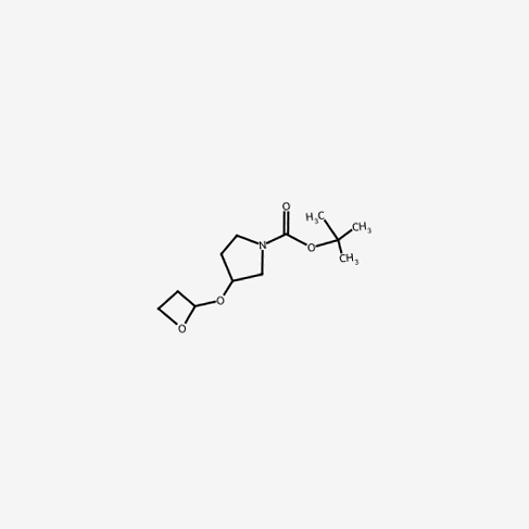 CC(C)(C)OC(=O)N1CCC(OC2CCO2)C1